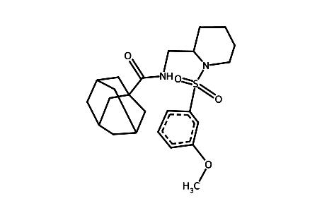 COc1cccc(S(=O)(=O)N2CCCCC2CNC(=O)C23CC4CC(CC(C4)C2)C3)c1